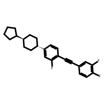 Fc1ccc(C#Cc2ccc([C@H]3CC[C@H](C4CCCC4)CC3)cc2F)cc1F